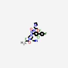 C=C(F)C(=O)N1CCN(c2nc(=O)n3c4c(c(-c5ccc(F)cc5F)c(Cl)cc24)OCC3CN2CCC2)C[C@@H]1CC#N